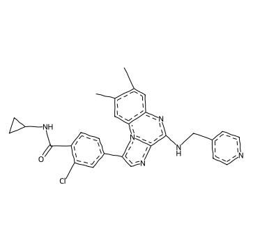 Cc1cc2nc(NCc3ccncc3)c3ncc(-c4ccc(C(=O)NC5CC5)c(Cl)c4)n3c2cc1C